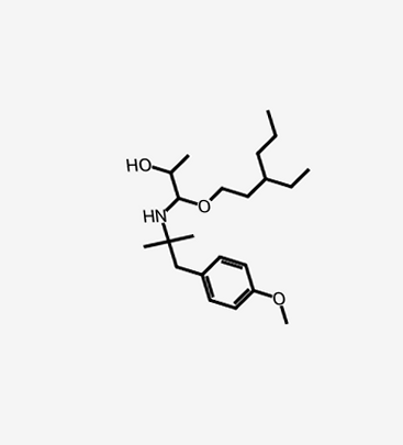 CCCC(CC)CCOC(NC(C)(C)Cc1ccc(OC)cc1)C(C)O